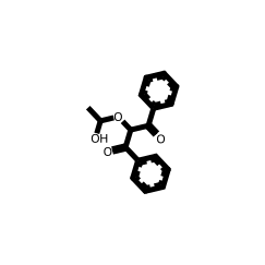 CC(O)OC(C(=O)c1ccccc1)C(=O)c1ccccc1